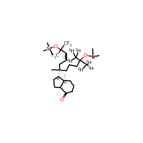 [2H]C([2H])([2H])C(CCCC(C)(C/C=C\C(O[Si](C)(C)C)(C(F)(F)F)C(F)(F)F)[C@H]1CCC2C(=O)CCC[C@@]21C)(O[Si](C)(C)C)C([2H])([2H])[2H]